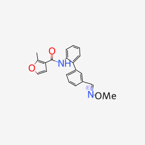 CO/N=C/c1cccc(-c2ccccc2NC(=O)c2ccoc2C)c1